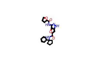 O=C(Nc1n[nH]c2cc(C(=O)NC3(c4ccccc4)CCCC3)oc12)c1ccco1